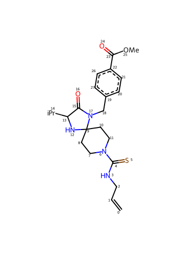 C=CCNC(=S)N1CCC2(CC1)NC(C(C)C)C(=O)N2Cc1ccc(C(=O)OC)cc1